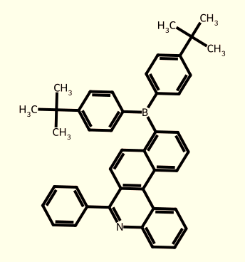 CC(C)(C)c1ccc(B(c2ccc(C(C)(C)C)cc2)c2cccc3c2ccc2c(-c4ccccc4)nc4ccccc4c23)cc1